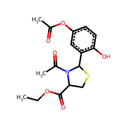 CCOC(=O)C1CSC(c2cc(OC(C)=O)ccc2O)N1C(C)=O